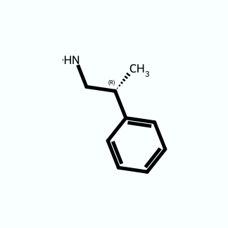 C[C@@H](C[NH])c1ccccc1